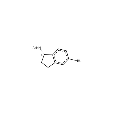 CC(=O)N[C@H]1CCc2cc(N)ccc21